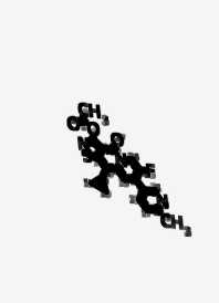 CC(=O)Oc1nsc2c(C3CC3)c3cc(-c4ccc(C)nc4)c(F)cn3c(=O)c12